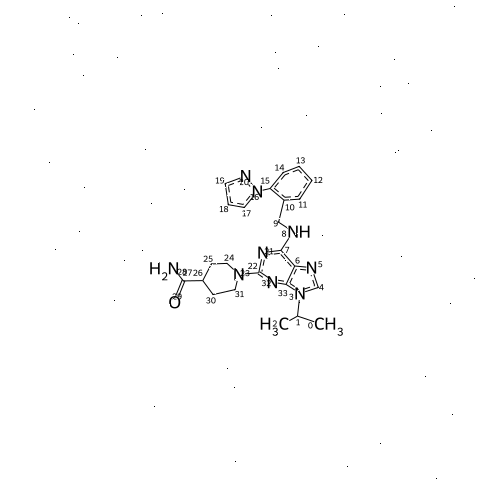 CC(C)n1cnc2c(NCc3ccccc3-n3cccn3)nc(N3CCC(C(N)=O)CC3)nc21